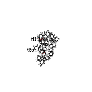 CC(C)(C)c1ccc(N2c3cc(-c4ccc([Si](c5ccccc5)(c5ccccc5)c5cccc(-c6ccccc6)c5)cc4)ccc3B3c4ccc([Si](c5ccccc5)(c5ccccc5)c5cccc(-c6ccccc6)c5)cc4N(c4ccccc4-c4ccccc4)c4cc(C(C)(C)C)cc2c43)c(-c2ccccc2)c1